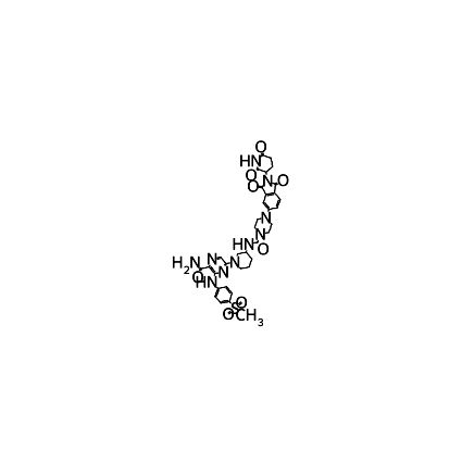 CS(=O)(=O)c1ccc(Nc2nc(N3CCC[C@@H](NC(=O)N4CCN(c5ccc6c(c5)C(=O)N(C5CCC(=O)NC5=O)C6=O)CC4)C3)cnc2C(N)=O)cc1